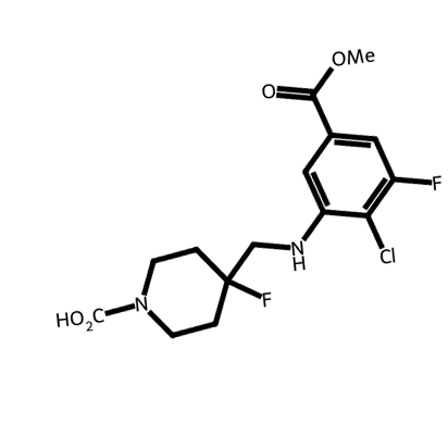 COC(=O)c1cc(F)c(Cl)c(NCC2(F)CCN(C(=O)O)CC2)c1